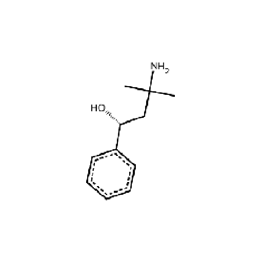 CC(C)(N)C[C@@H](O)c1ccccc1